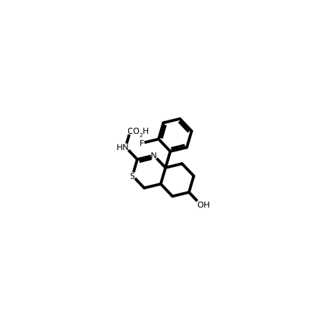 O=C(O)NC1=NC2(c3ccccc3F)CCC(O)CC2CS1